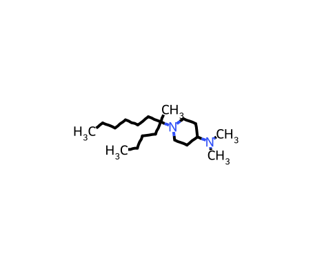 CCCCCCC(C)(CCCC)N1CCC(N(C)C)CC1